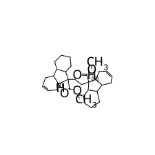 COC(=O)C1(CCC2(C(=O)OC)C3CCCCC3C3CC=CC[C@H]32)C2CCCCC2C2CC=CC[C@H]21